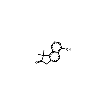 CC1(C)C(=O)Cc2ccc3c(O)cccc3c21